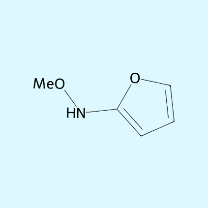 CONc1ccco1